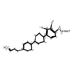 C=CCCC1CCC(C2CCC(c3ccc(OCCCCCCC)c(F)c3F)CC2)CC1